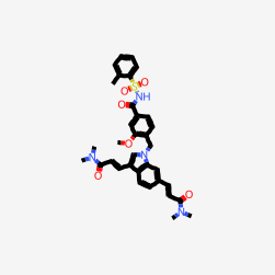 COc1cc(C(=O)NS(=O)(=O)c2ccccc2C)ccc1Cn1cc(C=CC(=O)N(C)C)c2ccc(C=CC(=O)N(C)C)cc21